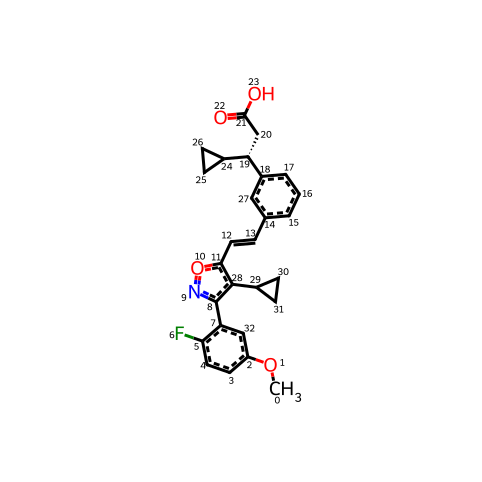 COc1ccc(F)c(-c2noc(C=Cc3cccc([C@@H](CC(=O)O)C4CC4)c3)c2C2CC2)c1